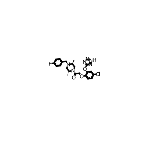 C[C@@H]1CN(Cc2ccc(F)cc2)[C@@H](C)CN1C(=O)COc1ccc(Cl)cc1Oc1nn[nH]n1